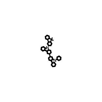 CC1(C)c2ccccc2-c2cc(-n3c4ccccc4c4cc(-c5ccc6c7ccccc7n(-c7ccccc7)c6c5)ccc43)ccc21